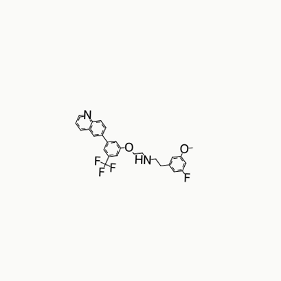 COc1cc(F)cc(CCNCCOc2cc(-c3ccc4ncccc4c3)cc(C(F)(F)F)c2)c1